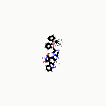 Cc1nc2cnc(CO[Si](c3ccccc3)(c3ccccc3)C(C)(C)C)cn2c1C1=C(c2c[nH]c3ccccc23)C(=O)NC1=O